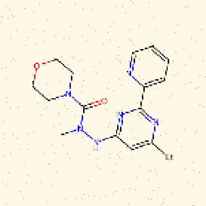 CCc1cc(NN(C)C(=O)N2CCOCC2)nc(-c2ccccn2)n1